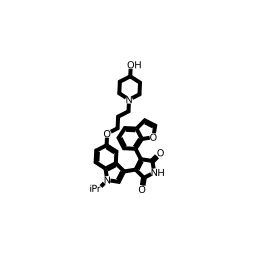 CC(C)n1cc(C2=C(c3cccc4ccoc34)C(=O)NC2=O)c2cc(OCCCN3CCC(O)CC3)ccc21